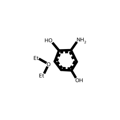 CCOCC.Nc1cc(O)ccc1O